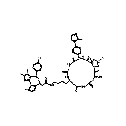 Cc1ncsc1-c1ccc([C@H]2NC(=O)[C@@H]3C[C@@H](O)CN3C(=O)[C@H](C(C)(C)C)NC(=O)CNC(=O)C[C@@H](CCCCNC(=O)C[C@@H]3N=C(c4ccc(Cl)cc4)c4c(sc(C)c4C)-n4c(C)nnc43)NC(=O)CNC2=O)cc1